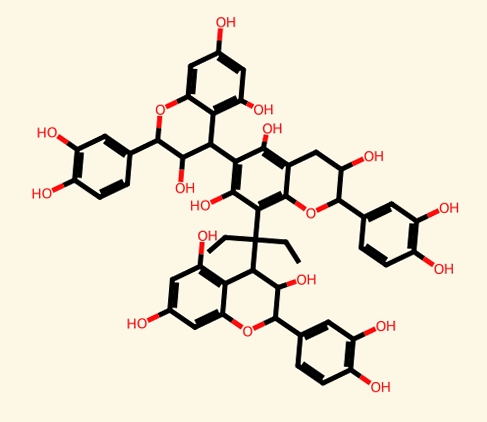 CCC(CC)(c1c(O)c(C2c3c(O)cc(O)cc3OC(c3ccc(O)c(O)c3)C2O)c(O)c2c1OC(c1ccc(O)c(O)c1)C(O)C2)C1c2c(O)cc(O)cc2OC(c2ccc(O)c(O)c2)C1O